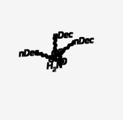 CCCCCCCCCCCCCCCCOc1cc(C(N)=O)cc(OCCCCCCCCCCCCCCCC)c1OCCCCCCCCCCCCCCCC